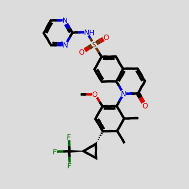 COC1=C(n2c(=O)ccc3cc(S(=O)(=O)Nc4ncccn4)ccc32)C(C)C(C)C([C@@H]2C[C@H]2C(F)(F)F)=C1